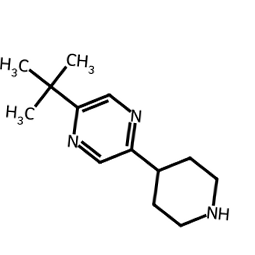 CC(C)(C)c1cnc(C2CCNCC2)cn1